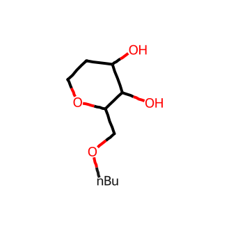 CCCCOCC1OCCC(O)C1O